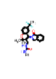 CCNC(=O)NCC1=C(N2Cc3ccccc3C2=O)c2cc(C(F)(F)C(F)(F)F)ccc2OC1(C)C